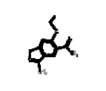 CCOc1cc2c(cc1C(N)=O)C(N)=NC2